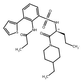 [CH2]CC[C@H](NS(=O)(=O)c1cccc(-c2cccs2)c1NC(=O)CC)C(=O)N1CCC(CC)CC1